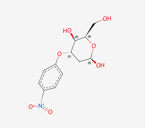 O=[N+]([O-])c1ccc(O[C@H]2C[C@H](O)O[C@H](CO)[C@@H]2O)cc1